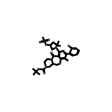 CC(C)(C)OC(=O)N1CCN2C(=O)c3c(N4CC(OS(C)(=O)=O)CC4(C)C)nc(-c4ccccc4F)c(F)c3OCC2C1